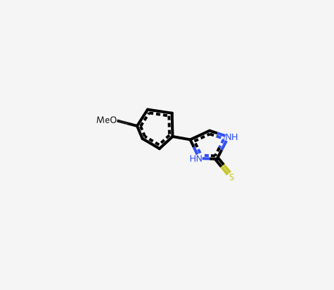 COc1ccc(-c2c[nH]c(=S)[nH]2)cc1